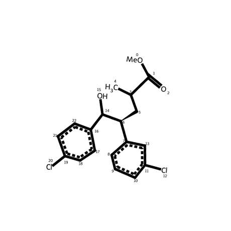 COC(=O)C(C)C[C@@H](c1cccc(Cl)c1)C(O)c1ccc(Cl)cc1